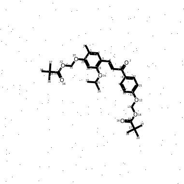 Cc1cc(/C=C/C(=O)c2ccc(OCOC(=O)C(C)(C)C)cc2)c(OC(C)C)cc1OCOC(=O)C(C)(C)C